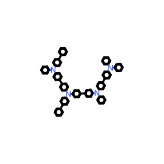 c1ccc(-c2ccc(N(c3ccccc3)c3ccc(-c4ccc(N(c5ccc(-c6ccccc6)cc5)c5ccc(-c6ccc(N(c7ccccc7)c7ccc(-c8ccc(N(c9ccccc9)c9ccccc9)cc8)cc7)cc6)cc5)cc4)cc3)cc2)cc1